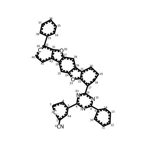 N#Cc1cccc(-c2nc(-c3ccccc3)nc(-c3cccc4c3oc3cc5c(cc34)oc3c(-c4ccccc4)cccc35)n2)c1